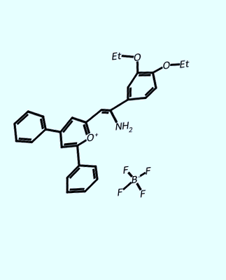 CCOc1ccc(C(N)=Cc2cc(-c3ccccc3)cc(-c3ccccc3)[o+]2)cc1OCC.F[B-](F)(F)F